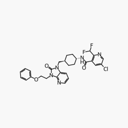 O=C(N[C@H]1CC[C@H](Cn2c(=O)n(CCOc3ccccc3)c3ncccc32)CC1)c1cc(Cl)cnc1C(F)F